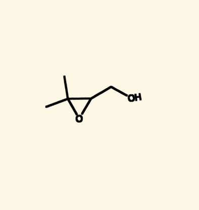 CC1(C)OC1CO